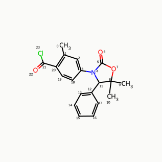 Cc1cc(N2C(=O)OC(C)(C)C2c2ccccc2)ccc1C(=O)Cl